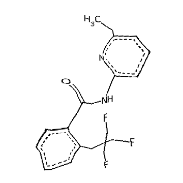 Cc1cccc(NC(=O)c2ccccc2C(F)(F)F)n1